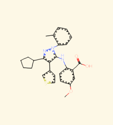 COc1ccc(Nc2c(-c3ccsc3)c(C3CCCC3)nn2-c2ccccc2C)c(C(=O)O)c1